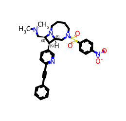 CN(C)C[C@@H]1[C@H](c2ccc(C#Cc3ccccc3)nc2)[C@@H]2CN(S(=O)(=O)c3ccc([N+](=O)[O-])cc3)CCCCN12